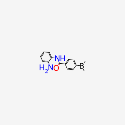 CB(C)c1ccc(C(=O)Nc2ccccc2N)cc1